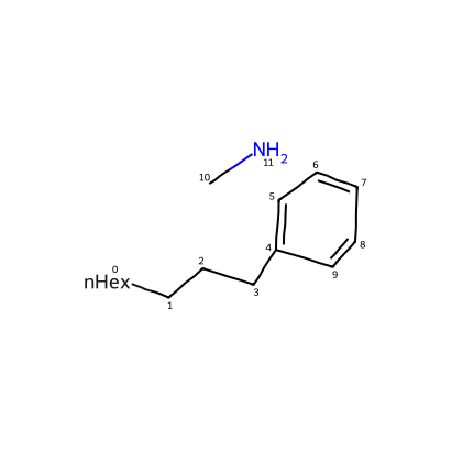 CCCCCCCCCc1ccccc1.CN